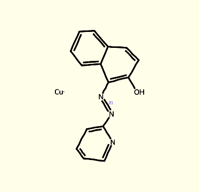 Oc1ccc2ccccc2c1/N=N/c1ccccn1.[Cu]